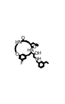 C#CCC1CCC(=O)NCCCCOc2cc(F)cc(c2)CC(C(O)CNCc2cccc(CC)c2)NC1=O